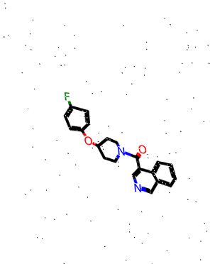 O=C(c1cncc2ccccc12)N1CCC(Oc2ccc(F)cc2)CC1